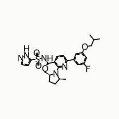 CC(C)COc1cc(F)cc(-c2ccc(C(=O)NS(=O)(=O)c3ccn[nH]3)c(N3[C@H](C)CC[C@@H]3C)n2)c1